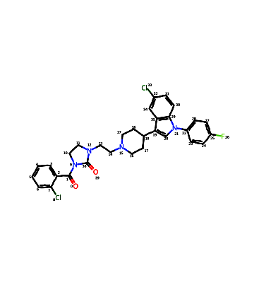 O=C(c1ccccc1Cl)N1CCN(CCN2CCC(c3cn(-c4ccc(F)cc4)c4ccc(Cl)cc34)CC2)C1=O